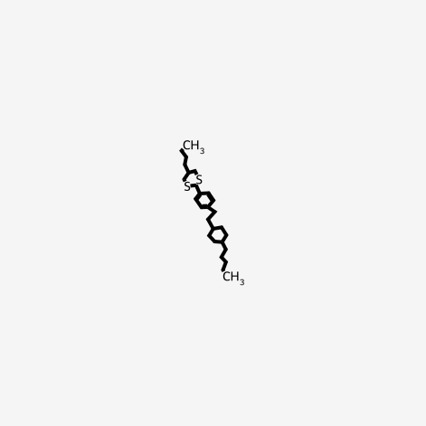 CCCCCC1CCC(CCc2ccc(C3SCC(CCCC)CS3)cc2)CC1